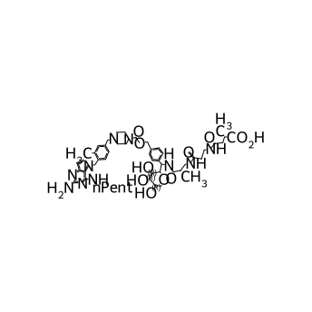 CCCCCNc1nc(N)nc2ccn(Cc3ccc(CN4CCN(C(=O)OCc5ccc(C(NC(=O)C(C)CNC(=O)CCNC(=O)CC(C)C(=O)O)C6OC[C@@H](O)[C@@H](O)[C@H]6O)cc5)CC4)cc3C)c12